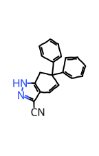 N#Cc1n[nH]c2c1C=CC(c1ccccc1)(c1ccccc1)C2